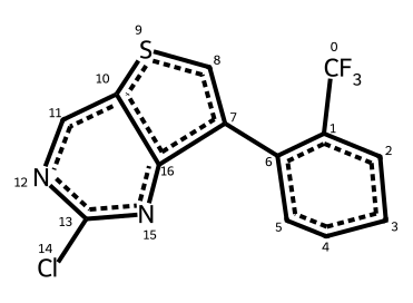 FC(F)(F)c1ccccc1-c1csc2cnc(Cl)nc12